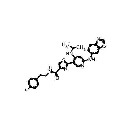 CC(C)Nc1cc(Nc2ccc3ncsc3c2)ncc1-c1nc(C(=O)NCCc2ccc(F)cc2)cs1